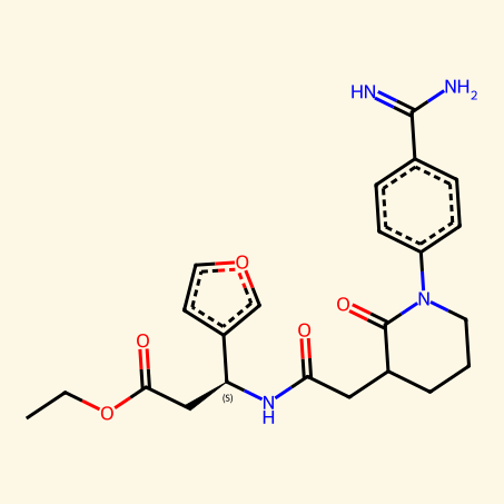 CCOC(=O)C[C@H](NC(=O)CC1CCCN(c2ccc(C(=N)N)cc2)C1=O)c1ccoc1